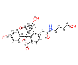 O=C(Cc1ccc2c(c1)C1(OC2=O)c2ccc(O)cc2Oc2cc(O)ccc21)NCCCCO